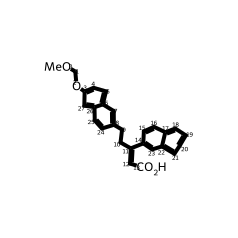 COCOc1ccc2cc(CCC(=CC(=O)O)c3ccc4ccccc4c3)ccc2c1